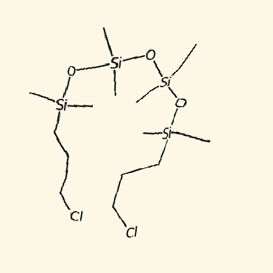 C[Si](C)(CCCCl)O[Si](C)(C)O[Si](C)(C)O[Si](C)(C)CCCCl